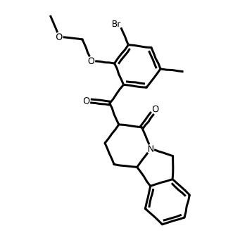 COCOc1c(Br)cc(C)cc1C(=O)C1CCC2c3ccccc3CN2C1=O